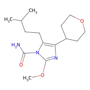 COc1nc(C2CCOCC2)c(CCC(C)C)n1C(N)=O